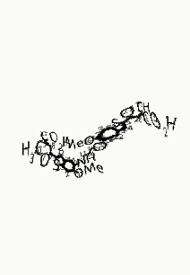 COc1cc2sc(C(=O)CC(C)C(=O)O)cc2cc1NCCCOc1cc2cc(C(=O)CC(C)C(=O)O)sc2cc1OC